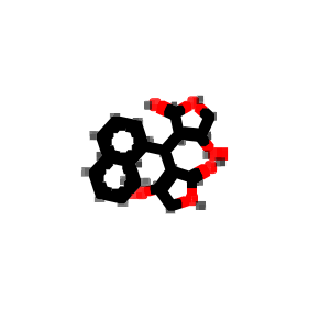 O=C1OCC(O)=C1C(C1=C(O)COC1=O)c1cccc2ccccc12